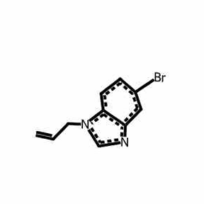 C=CCn1cnc2cc(Br)ccc21